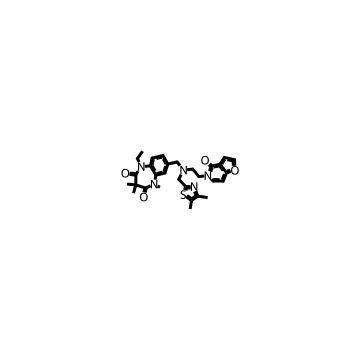 CCN1C(=O)C(C)(C)C(=O)N(C)c2cc(CN(CCn3ccc4occc4c3=O)Cc3nc(C)c(C)s3)ccc21